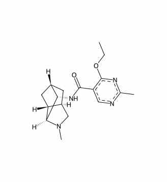 CCOc1nc(C)ncc1C(=O)N[C@H]1[C@H]2C[C@H]3CN(C)[C@H]1[C@@H]3C2